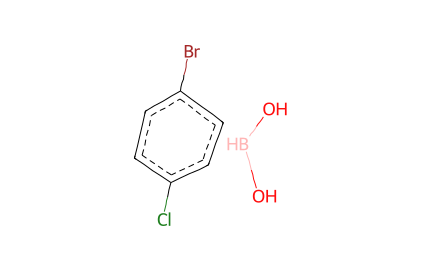 Clc1ccc(Br)cc1.OBO